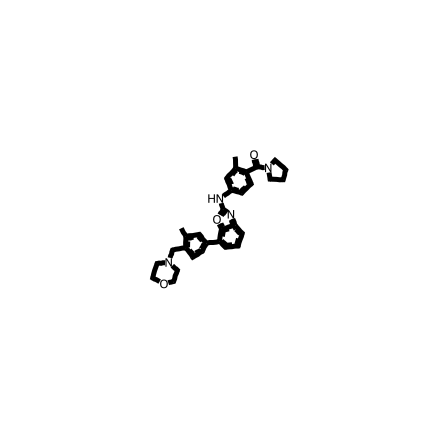 Cc1cc(-c2cccc3nc(Nc4ccc(C(=O)N5CCCC5)c(C)c4)oc23)ccc1CN1CCOCC1